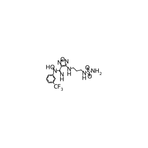 N=C(c1nonc1NCCCNS(N)(=O)=O)N(O)c1cccc(C(F)(F)F)c1